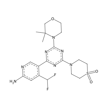 CC1(C)COCCN1c1nc(-c2cnc(N)cc2C(F)F)nc(N2CCS(=O)(=O)CC2)n1